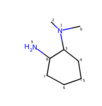 CN(C)C1C[CH]CCC1N